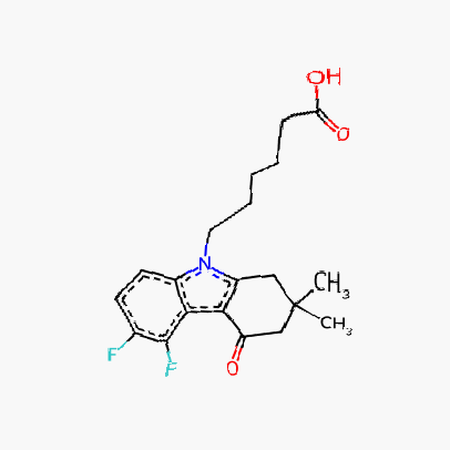 CC1(C)CC(=O)c2c(n(CCCCCC(=O)O)c3ccc(F)c(F)c23)C1